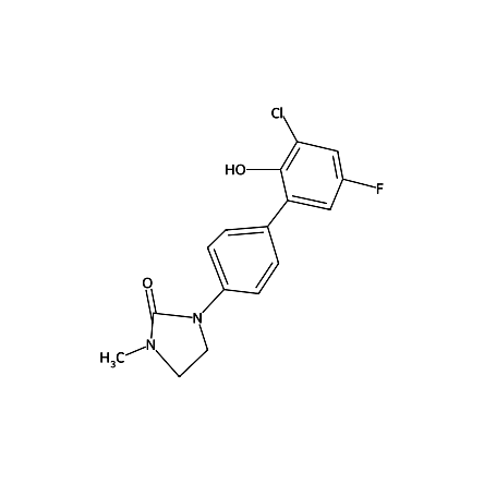 CN1CCN(c2ccc(-c3cc(F)cc(Cl)c3O)cc2)C1=O